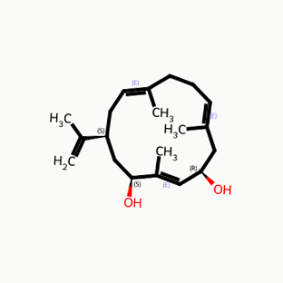 C=C(C)[C@H]1C/C=C(\C)CC/C=C(\C)C[C@@H](O)/C=C(\C)[C@@H](O)C1